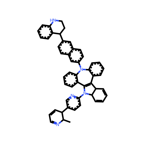 CC1N=CC=CC1c1ccc(N2C3=C(c4ccccc4N(c4ccc5cc(C6CCNc7ccccc76)ccc5c4)c4ccccc43)C3C=CC=CC32)nc1